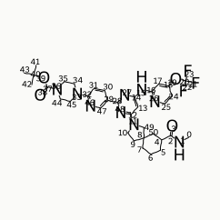 CNC(=O)C1CCCC2(CCN(c3cc(Nc4cc(OC(F)(F)F)ccn4)nc(-c4ccc(N5CCN(C(=O)OC(C)(C)C)CC5)nc4)n3)C2)C1